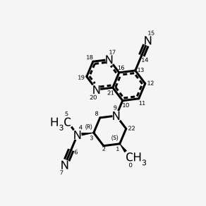 C[C@H]1C[C@@H](N(C)C#N)CN(c2ccc(C#N)c3nccnc23)C1